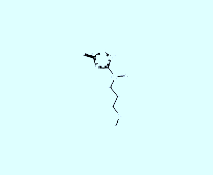 CNCCCN(N)c1noc(=S)[nH]1